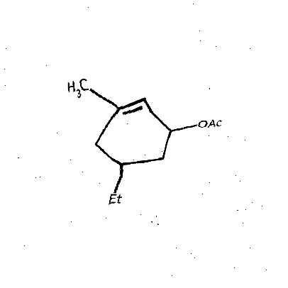 CCC1CC(C)=CC(OC(C)=O)C1